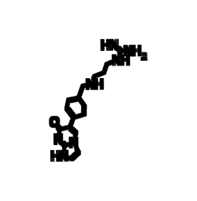 N=C(N)NCCCNCc1ccc(-c2cn3cc[nH]c3nc2=O)cc1